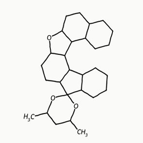 CC1CC(C)OC2(O1)C1CCCCC1C1C3C(CCC12)OC1CCC2CCCCC2C13